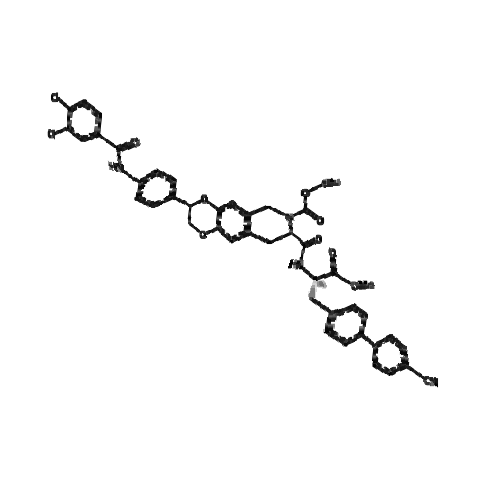 COC(=O)[C@H](Cc1ccc(-c2ccc(C#N)cc2)cc1)NC(=O)C1Cc2cc3c(cc2CN1C(=O)OC(C)(C)C)OC(c1ccc(NC(=O)c2ccc(Cl)c(Cl)c2)cc1)CO3